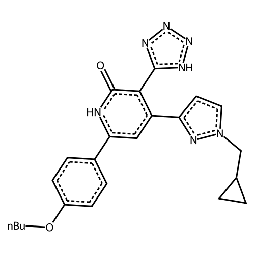 CCCCOc1ccc(-c2cc(-c3ccn(CC4CC4)n3)c(-c3nnn[nH]3)c(=O)[nH]2)cc1